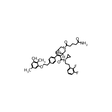 Cc1cc(C)c(C)c(OCCc2ccc(C3=C(C(=O)N(CCc4cccc(F)c4F)C4CC4)[C@H]4CN(C(=O)CCCC(N)=O)CC(C3)N4)cc2)c1